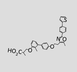 Cc1oc(-c2ccc(-c3cccs3)cc2)nc1CCOc1ccc(-c2cccc(OCC(C)C(=O)O)c2C)cc1